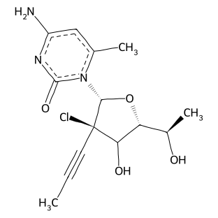 CC#C[C@@]1(Cl)C(O)[C@@H]([C@@H](C)O)O[C@H]1n1c(C)cc(N)nc1=O